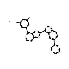 COc1cc(F)cc(-c2nccc3[nH]c(-c4n[nH]c5ccc(-c6cnccn6)cc45)nc23)c1